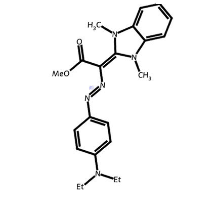 CCN(CC)c1ccc(/N=N/C(C(=O)OC)=C2N(C)c3ccccc3N2C)cc1